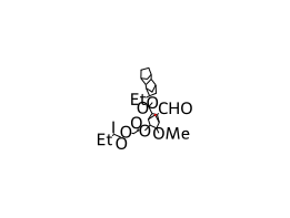 CCC(I)C(=O)OCC(=O)OC1C2CC(C(C=O)C2C(=O)OC2(CC)CC3CC2C2C4CCC(C4)C32)C1OC